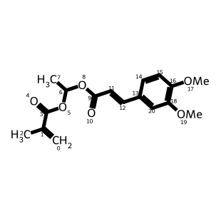 C=C(C)C(=O)OC(C)OC(=O)/C=C/c1ccc(OC)c(OC)c1